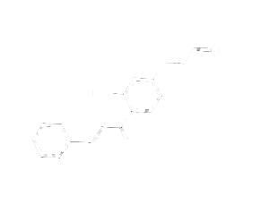 C=CCOc1ccc(C(=O)C=Cc2ccccc2)c(O)c1